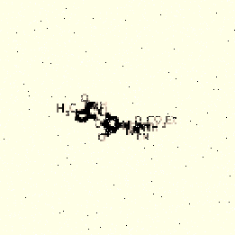 CCOC(=O)NC(=O)C(C#N)=NNc1cc(Cl)c(Oc2n[nH]c(=O)c3c2CCC3C)c(Cl)c1